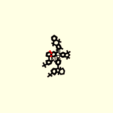 Cc1cc2c3c(c1)N(c1ccc(C(C)(C)C)cc1-c1ccccc1)c1cc(C4c5ccc(C(C)(C)C)cc5C5(C)CCCCC45C)ccc1B3c1cc3c(cc1N2c1cc2c(cc1C)C(C)(C)c1ccccc1C2(C)C)C(C)(C)CC3(C)C